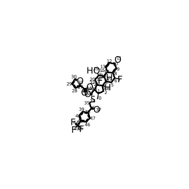 C[C@@H]1C[C@H]2[C@@H]3C[C@H](F)C4=CC(=O)C=C[C@]4(C)[C@@]3(F)[C@@H](O)C[C@]2(C)[C@@]1(OC(=O)c1ccco1)C(=O)SCC(=O)c1ccc(C(F)(F)F)cc1